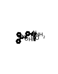 CNC(=O)c1nc(-c2cccc(C(=O)NCC(c3ccccc3)c3ccccc3)c2)cnc1N